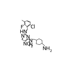 Cc1ccc(Cl)c(CNc2ncc([N+](=O)[O-])c(NCC3CCC(CN)CC3)n2)c1F